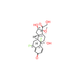 CO[C@]1(C(=O)CO)[C@H](O)C[C@H]2[C@@H]3C[C@H](F)C4=CC(=O)C=C[C@]4(C)[C@@]3(F)[C@@H](O)C[C@@]21C